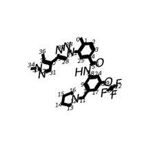 Cc1ccc(C(=O)Nc2cc(CN3CCCC3)cc(OC(F)(F)F)c2)cc1-n1cc(-c2cnn(C)c2C)nn1